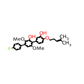 COc1cc(-c2ccc(F)cc2)c(OC)c(O)c1-c1ccc(OCCC=C(C)C)c(O)c1